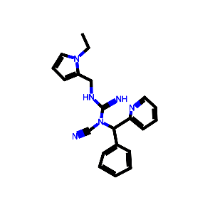 CCn1cccc1CNC(=N)N(C#N)C(c1ccccc1)c1ccccn1